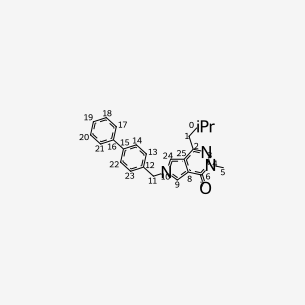 CC(C)Cc1nn(C)c(=O)c2cn(Cc3ccc(-c4ccccc4)cc3)cc12